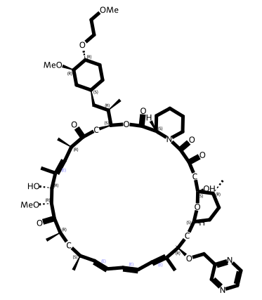 COCCO[C@@H]1CC[C@@H](C[C@@H](C)[C@@H]2CC(=O)[C@H](C)/C=C(\C)[C@@H](O)[C@@H](OC)C(=O)[C@H](C)C[C@H](C)/C=C/C=C/C=C(\C)[C@H](OCc3cnccn3)C[C@@H]3CC[C@@H](C)[C@](O)(CC(=O)C(=O)N4CCCC[C@H]4C(=O)O2)O3)C[C@H]1OC